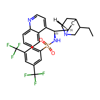 CCC1CN2CCC1C[C@H]2[C@@H](NS(=O)(=O)c1cc(C(F)(F)F)cc(C(F)(F)F)c1)c1ccnc2ccccc12